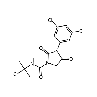 CC(C)(Cl)NC(=O)N1CC(=O)N(c2cc(Cl)cc(Cl)c2)C1=O